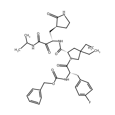 CCC1(CC)C[C@@H](C(=O)N[C@@H](C[C@@H]2CCNC2=O)C(=O)C(=O)NC(C)C)N(C(=O)[C@H](Cc2ccc(F)cc2)NC(=O)OCc2ccccc2)C1